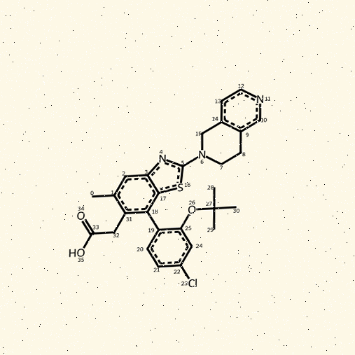 Cc1cc2nc(N3CCc4cnccc4C3)sc2c(-c2ccc(Cl)cc2OC(C)(C)C)c1CC(=O)O